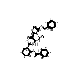 CC(C)C[C@H](NC(=O)[C@@H]1CCCC[C@@H]1NC(=O)c1ccccc1)C(=O)c1nnc(SCc2ccccc2)o1